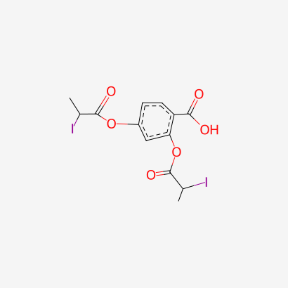 CC(I)C(=O)Oc1ccc(C(=O)O)c(OC(=O)C(C)I)c1